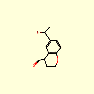 CC(Br)c1ccc2c(c1)C(C=O)CCO2